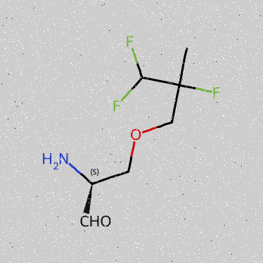 CC(F)(COC[C@H](N)C=O)C(F)F